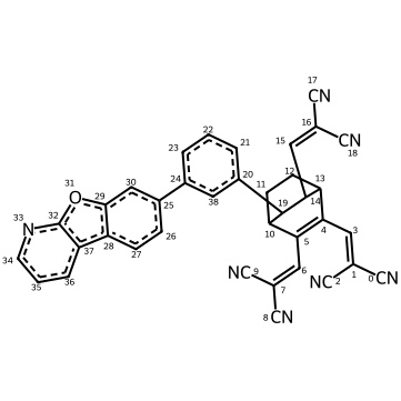 N#CC(C#N)=CC1=C(C=C(C#N)C#N)C2CCC1C(C=C(C#N)C#N)C2c1cccc(-c2ccc3c(c2)oc2ncccc23)c1